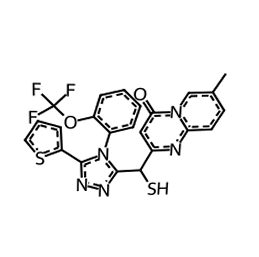 Cc1ccc2nc(C(S)c3nnc(-c4cccs4)n3-c3ccccc3OC(F)(F)F)cc(=O)n2c1